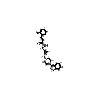 Cc1ccccc1/C=C/C(=O)NC[C@H]1C[C@@H]1CN1CCN(c2nsc3ccccc23)CC1